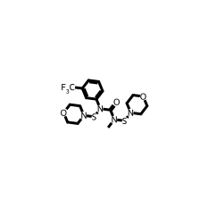 CN(SN1CCOCC1)C(=O)N(SN1CCOCC1)c1cccc(C(F)(F)F)c1